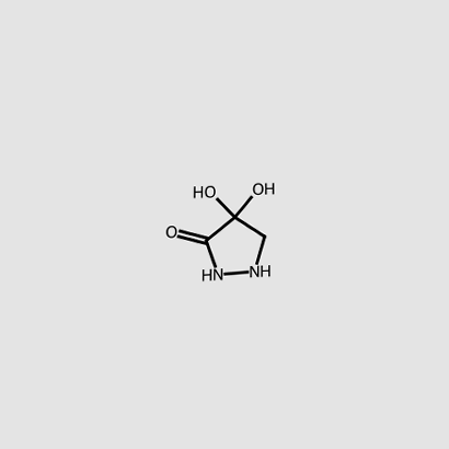 O=C1NNCC1(O)O